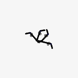 CCCCCC/C=C\COC(=O)CCCCCCCCN(CCCCCCCCC(=O)OC/C=C\CCCCCC)CCn1cc(CN(CCCCCCCCC(=O)OC/C=C\CCCCCC)CCCCCCCCC(=O)OC/C=C\CCCCCC)cn1